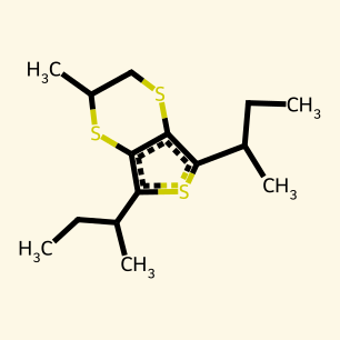 CCC(C)c1sc(C(C)CC)c2c1SCC(C)S2